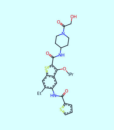 CCc1cc2sc(C(=O)NC3CCN(C(=O)CO)CC3)c(OC(C)C)c2cc1NC(=O)c1cccs1